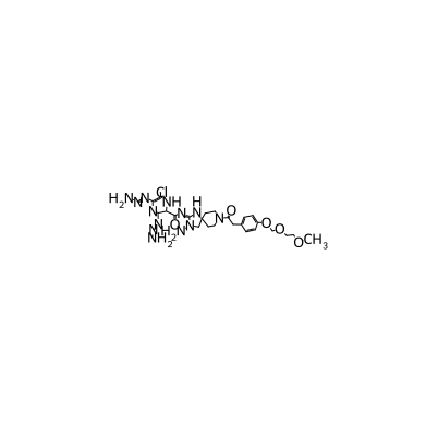 COCCOCOc1ccc(CC(=O)N2CCC3(CC2)CN(N)/C(=N\C(=O)C2NC(Cl)=C(N=NN)N=C2N=NN)N3)cc1